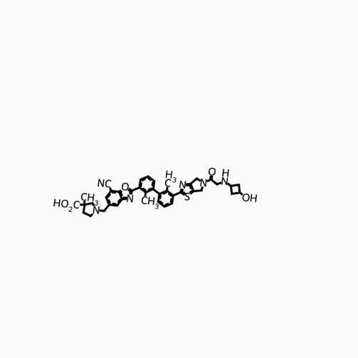 Cc1c(-c2nc3cc(CN4CCC(C)(C(=O)O)C4)cc(C#N)c3o2)cccc1-c1cccc(-c2nc3c(s2)CN(C(=O)CNC2CC(O)C2)C3)c1C